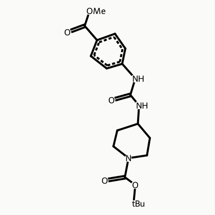 COC(=O)c1ccc(NC(=O)NC2CCN(C(=O)OC(C)(C)C)CC2)cc1